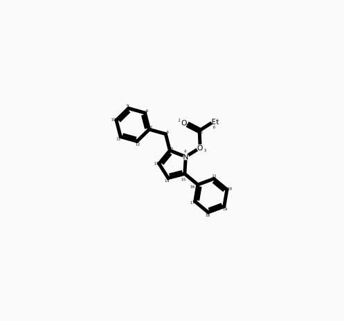 CCC(=O)On1c(Cc2ccccc2)ccc1-c1ccccc1